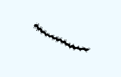 CC=CCCCCCCCCCCCCCCCCCCCCCCC